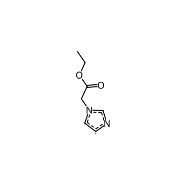 CCOC(=O)Cn1c[c]nc1